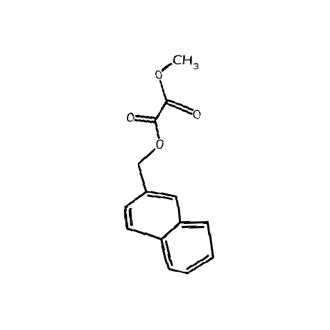 COC(=O)C(=O)OCc1ccc2ccccc2c1